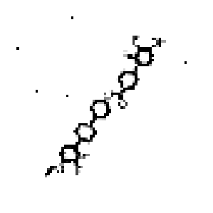 CCOc1ccc(C2CCC(C3CCC(OC(=O)C4CCC(c5ccc(O)c(F)c5F)CC4)CC3)CC2)c(F)c1F